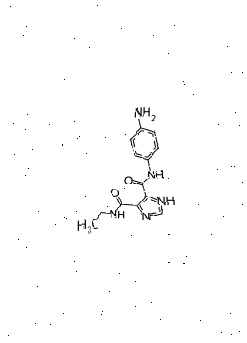 CCNC(=O)c1nc[nH]c1C(=O)Nc1ccc(N)cc1